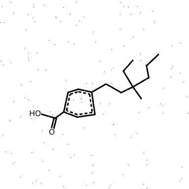 CCCC(C)(CC)CCc1ccc(C(=O)O)cc1